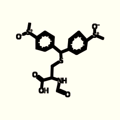 C[S+]([O-])c1ccc(C(SCC(NC=O)C(=O)O)c2ccc([S+](C)[O-])cc2)cc1